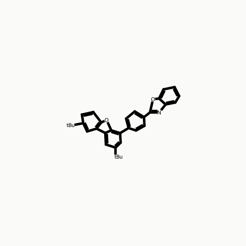 CC(C)(C)c1ccc2oc3c(-c4ccc(-c5nc6ccccc6o5)cc4)cc(C(C)(C)C)cc3c2c1